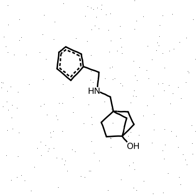 OC12CCC(CNCc3ccccc3)(CC1)C2